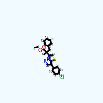 CCOC(=O)C(C)(Cc1ccccc1)c1csc2c(-c3ccc(Cl)cc3)cnn12